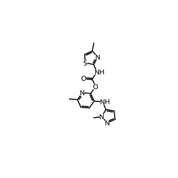 Cc1csc(NC(=O)Oc2nc(C)ccc2Nc2ccnn2C)n1